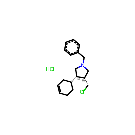 Cl.ClC[C@H]1CN(Cc2ccccc2)C[C@H]1C1CC=CCC1